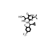 CN(C)c1nc(NC(c2ccc(C(F)(F)F)cc2F)C2CC2)c(C(=N)CO)c(=O)[nH]1